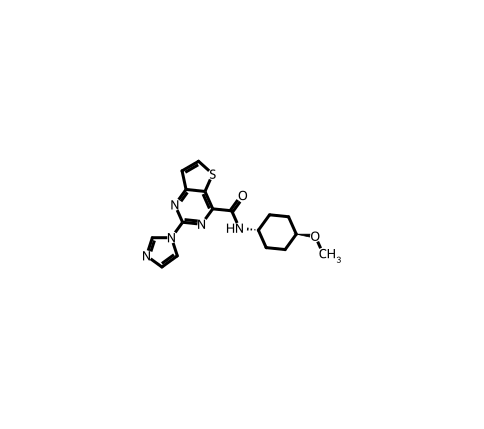 CO[C@H]1CC[C@H](NC(=O)c2nc(-n3ccnc3)nc3ccsc23)CC1